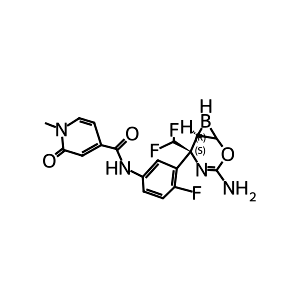 Cn1ccc(C(=O)Nc2ccc(F)c([C@@]3(C(F)F)N=C(N)OC4B[C@@H]43)c2)cc1=O